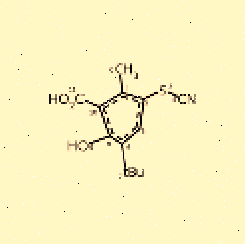 Cc1c(SC#N)cc(C(C)(C)C)c(O)c1C(=O)O